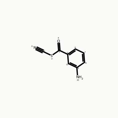 N#CSC(=O)c1cccc(N)c1